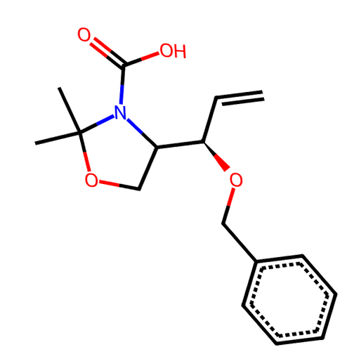 C=C[C@@H](OCc1ccccc1)C1COC(C)(C)N1C(=O)O